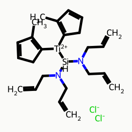 C=CCN(CC=C)[SiH](N(CC=C)CC=C)[Ti+2]([C]1=C(C)C=CC1)[C]1=C(C)C=CC1.[Cl-].[Cl-]